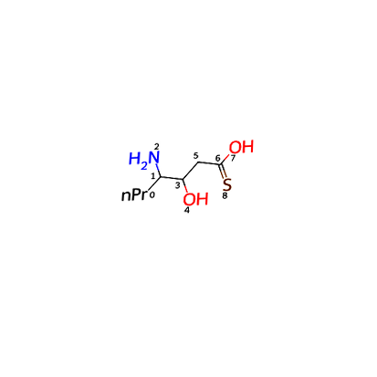 CCCC(N)C(O)CC(O)=S